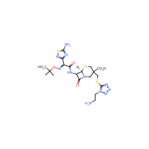 CC(C)(ON=C(C(=O)NC1C(=O)N2CC(CSc3nnnn3CCN)(C(=O)O)CS[C@H]12)c1nsc(N)n1)C(=O)O